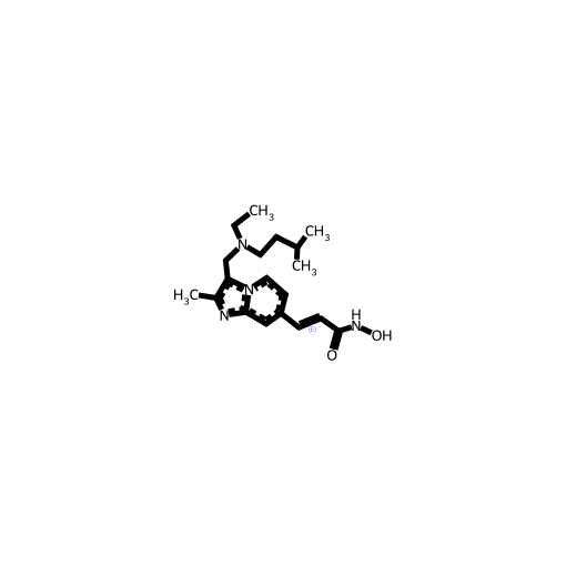 CCN(CCC(C)C)Cc1c(C)nc2cc(/C=C/C(=O)NO)ccn12